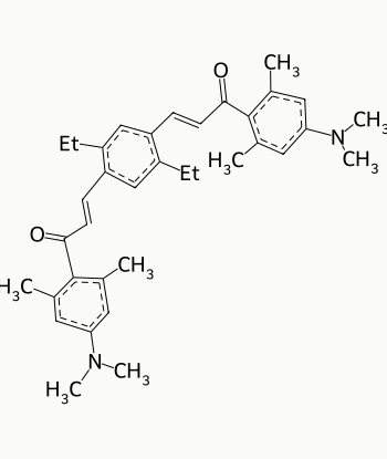 CCc1cc(C=CC(=O)c2c(C)cc(N(C)C)cc2C)c(CC)cc1C=CC(=O)c1c(C)cc(N(C)C)cc1C